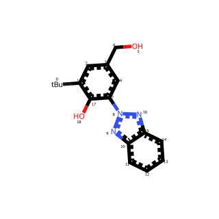 CC(C)(C)c1cc(CO)cc(-n2nc3ccccc3n2)c1O